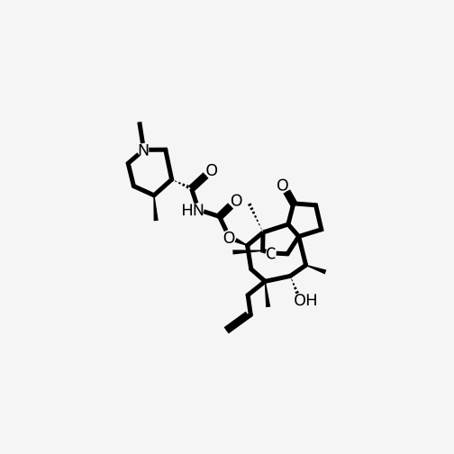 C=CC[C@]1(C)C[C@@H](OC(=O)NC(=O)[C@H]2CN(C)CC[C@@H]2C)[C@@]2(C)C3C(=O)CCC3(CC[C@H]2C)[C@@H](C)[C@@H]1O